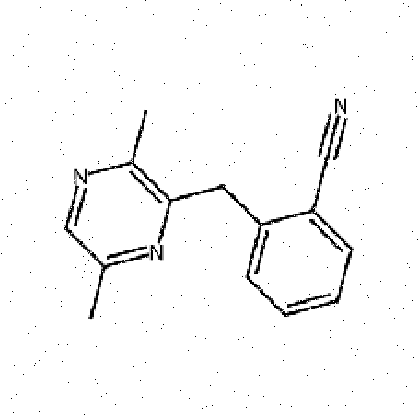 Cc1cnc(C)c(Cc2ccccc2C#N)n1